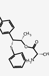 C[C@H](N)C(=O)O[C@@H](C)[C@H](Sc1ccccc1)c1ccc(F)cc1